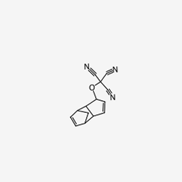 N#CC(C#N)(C#N)OC1C=CC2C3C=CC(C3)C12